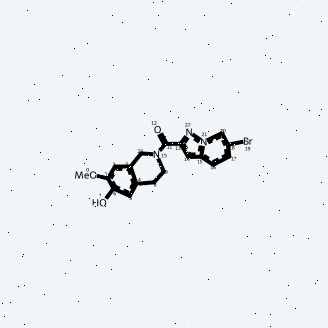 COc1cc2c(cc1O)CCN(C(=O)c1cc3ccc(Br)cn3n1)C2